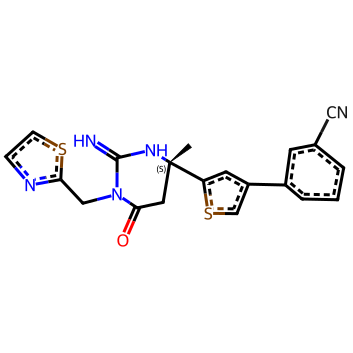 C[C@@]1(c2cc(-c3cccc(C#N)c3)cs2)CC(=O)N(Cc2nccs2)C(=N)N1